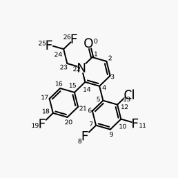 O=c1ccc(-c2cc(F)cc(F)c2Cl)c(-c2ccc(F)cc2)n1CC(F)F